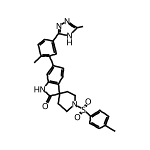 Cc1ccc(S(=O)(=O)N2CCC3(CC2)C(=O)Nc2cc(-c4cc(-c5nnc(C)[nH]5)ccc4C)ccc23)cc1